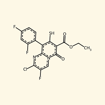 CCOC(=O)c1c(S)c(-c2ccc(F)cc2F)c2nc(Cl)c(F)cn2c1=O